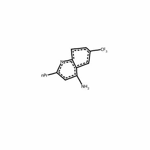 CCCc1cc(N)c2cc(C(F)(F)F)ccc2n1